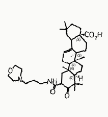 CC1(C)CC[C@]2(C(=O)O)CC[C@]3(C)C(=CCC4[C@@]5(C)CC(C(=O)NCCCN6CCOCC6)C(=O)C(C)(C)[C@@H]5CC[C@]43C)C2C1